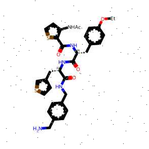 CCOc1ccc(C[C@@H](NC(=O)c2sccc2NC(C)=O)C(=O)N[C@@H](Cc2ccsc2)C(=O)NCc2ccc(CN)cc2)cc1